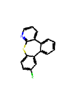 Clc1ccc2c(c1)-c1ccccc1-c1cccnc1S2